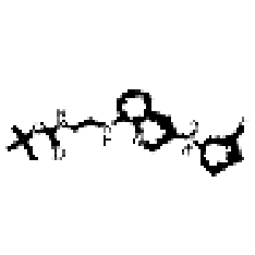 CC(C)(C)OC(=O)NCCNc1cccc2cc(S(=O)(=O)c3cccc(F)c3)cnc12